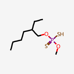 CCCCC(CC)COP(=S)(S)OC